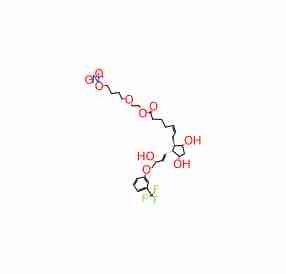 O=C(CCC/C=C\C[C@@H]1[C@@H](/C=C/[C@@H](O)COc2cccc(C(F)(F)F)c2)[C@H](O)C[C@@H]1O)OCCOCCCCO[N+](=O)[O-]